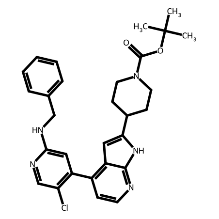 CC(C)(C)OC(=O)N1CCC(c2cc3c(-c4cc(NCc5ccccc5)ncc4Cl)ccnc3[nH]2)CC1